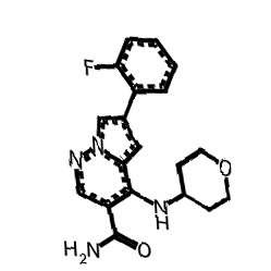 NC(=O)c1cnn2cc(-c3ccccc3F)cc2c1NC1CCOCC1